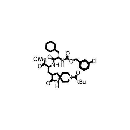 COC(=O)[C@H](CC1CC2(CCN(C(=O)C(C)(C)C)CC2)NC1=O)NC(=O)[C@H](CC1CCCCC1)NC(=O)OCc1cccc(Cl)c1